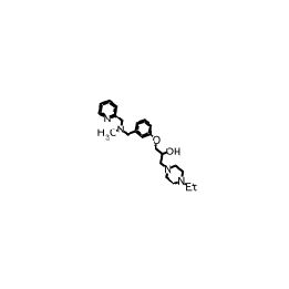 CCN1CCN(CC(O)COc2cccc(CN(C)Cc3ccccn3)c2)CC1